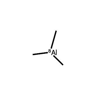 [CH3][8Al]([CH3])[CH3]